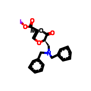 COC(=O)[C@H](CN(Cc1ccccc1)Cc1ccccc1)O/C=C/C(=O)OI